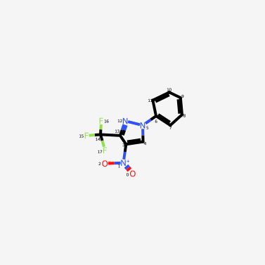 O=[N+]([O-])c1cn(-c2c[c]ccc2)nc1C(F)(F)F